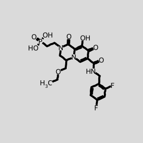 CCOCC1CN(CCP(=O)(O)O)C(=O)c2c(O)c(=O)c(C(=O)NCc3ccc(F)cc3F)cn21